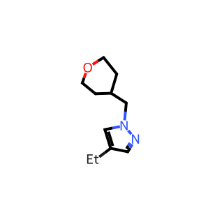 CCc1cnn(CC2CCOCC2)c1